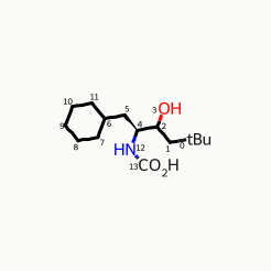 CC(C)(C)CC(O)[C@H](CC1CCCCC1)NC(=O)O